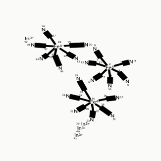 N#[C][Fe-4]([C]#N)([C]#N)([C]#N)([C]#N)[C]#N.N#[C][Fe-4]([C]#N)([C]#N)([C]#N)([C]#N)[C]#N.N#[C][Fe-4]([C]#N)([C]#N)([C]#N)([C]#N)[C]#N.[In+3].[In+3].[In+3].[In+3]